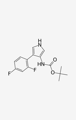 CC(C)(C)OC(=O)Nc1c[nH]cc1-c1ccc(F)cc1F